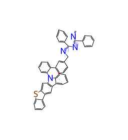 C=N/C(=N\C(=N/Cc1cccc(-c2ccccc2-n2c3ccccc3c3cc4c(cc32)sc2ccccc24)c1)c1ccccc1)c1ccccc1